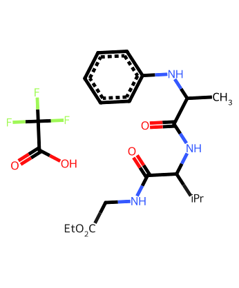 CCOC(=O)CNC(=O)C(NC(=O)C(C)Nc1ccccc1)C(C)C.O=C(O)C(F)(F)F